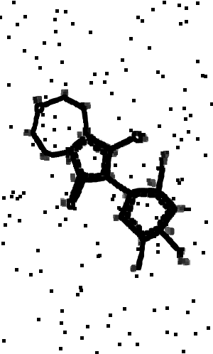 Cc1cc(-c2c(Cl)n3n(c2=O)CCOCC3)c(F)cc1F